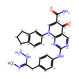 C/N=C(/Cc1ccc(Nc2ncc3c(=O)c(C(N)=O)cn(-c4ccc5c(c4)CCC5)c3n2)cc1)NN